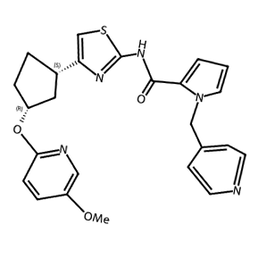 COc1ccc(O[C@@H]2CC[C@H](c3csc(NC(=O)c4cccn4Cc4ccncc4)n3)C2)nc1